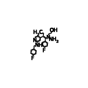 C=C/C(=C(/c1ccc(F)cc1)N(N)CCO)c1ccnc(NCc2ccc(F)cc2)c1